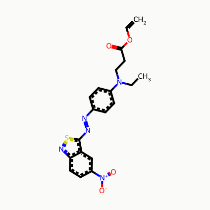 C=COC(=O)CCN(CC)c1ccc(N=Nc2snc3ccc([N+](=O)[O-])cc23)cc1